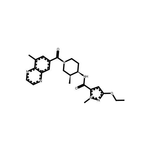 CCOc1cc(C(=O)N[C@@H]2CCN(C(=O)c3cc(C)c4nccnc4c3)C[C@@H]2C)n(C)n1